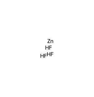 F.F.F.[Zn]